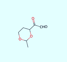 CC1OCCC(C(=O)C=O)O1